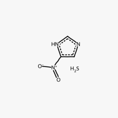 O=[N+]([O-])c1cnc[nH]1.S